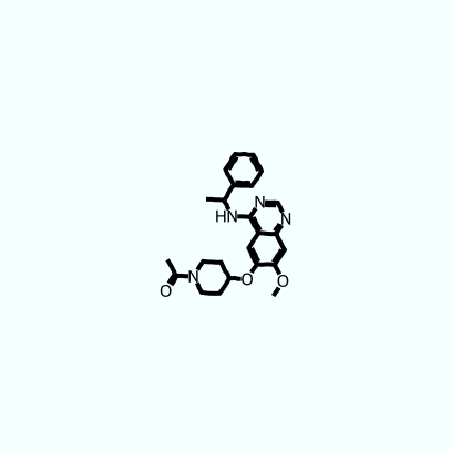 COc1cc2ncnc(NC(C)c3ccccc3)c2cc1OC1CCN(C(C)=O)CC1